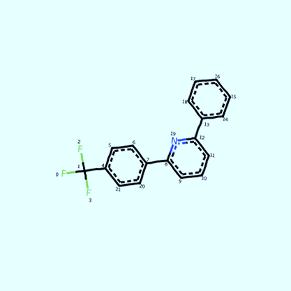 FC(F)(F)c1ccc(-c2cccc(-c3ccccc3)n2)cc1